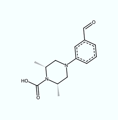 C[C@@H]1CN(c2cccc(C=O)c2)C[C@H](C)N1C(=O)O